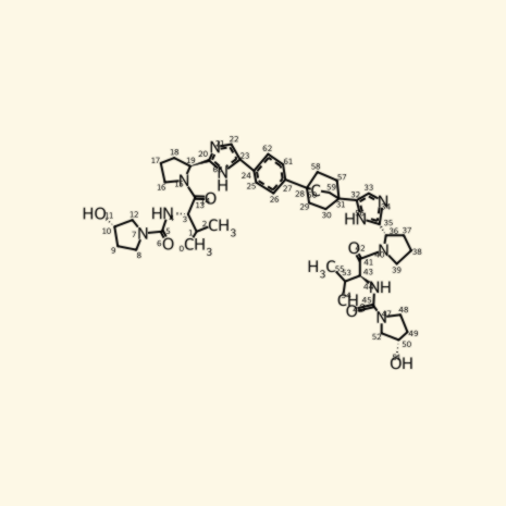 CC(C)[C@H](NC(=O)N1CC[C@H](O)C1)C(=O)N1CCC[C@H]1c1ncc(-c2ccc(C34CCC(c5cnc([C@@H]6CCCN6C(=O)[C@@H](NC(=O)N6CC[C@H](O)C6)C(C)C)[nH]5)(CC3)CC4)cc2)[nH]1